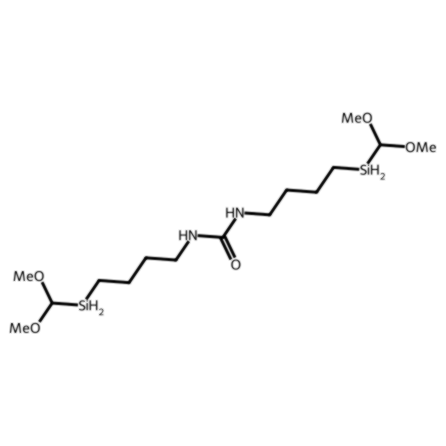 COC(OC)[SiH2]CCCCNC(=O)NCCCC[SiH2]C(OC)OC